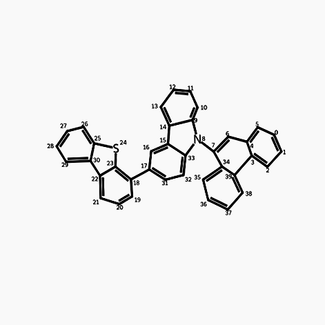 c1ccc2c(c1)cc(-n1c3ccccc3c3cc(-c4cccc5c4sc4ccccc45)ccc31)c1ccccc12